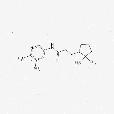 Cc1ncc(NC(=O)CCN2CCCC2(C)C)cc1N